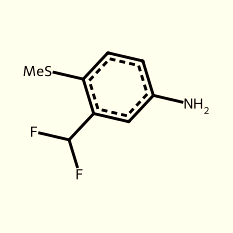 CSc1ccc(N)cc1C(F)F